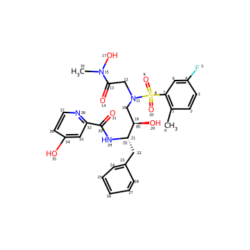 Cc1ccc(F)cc1S(=O)(=O)N(CC(=O)N(C)O)C[C@@H](O)[C@H](Cc1ccccc1)NC(=O)c1cc(O)ccn1